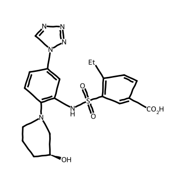 CCc1ccc(C(=O)O)cc1S(=O)(=O)Nc1cc(-n2cnnn2)ccc1N1CCC[C@H](O)C1